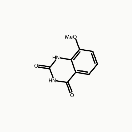 COc1cccc2c(=O)[nH]c(=O)[nH]c12